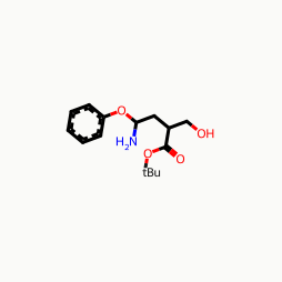 CC(C)(C)OC(=O)C(CO)CC(N)Oc1ccccc1